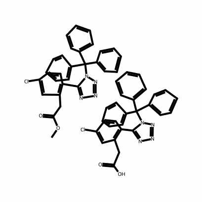 COC(=O)Cc1cc(Cl)ccc1-c1nnnn1C(c1ccccc1)(c1ccccc1)c1ccccc1.O=C(O)Cc1cc(Cl)ccc1-c1nnnn1C(c1ccccc1)(c1ccccc1)c1ccccc1